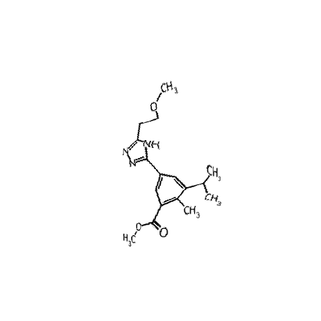 COCCc1nnc(-c2cc(C(=O)OC)c(C)c(C(C)C)c2)[nH]1